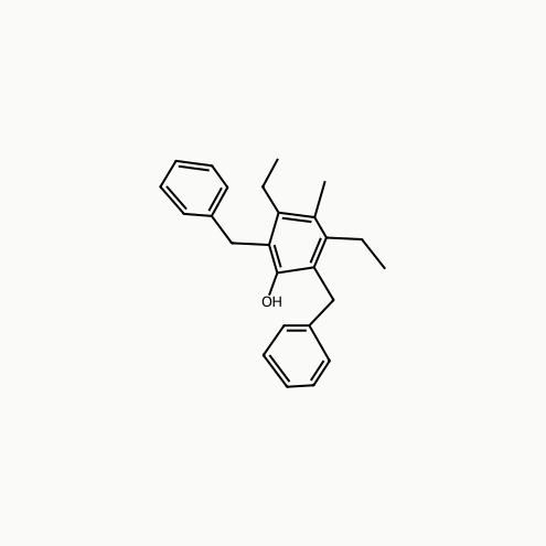 CCc1c(C)c(CC)c(Cc2ccccc2)c(O)c1Cc1ccccc1